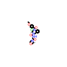 CCOc1ccc(C(=O)N2C[C@@H](C)N(C(=O)NCC(=O)N3CCOC[C@H]3C)Cc3ccccc32)c(Cl)c1